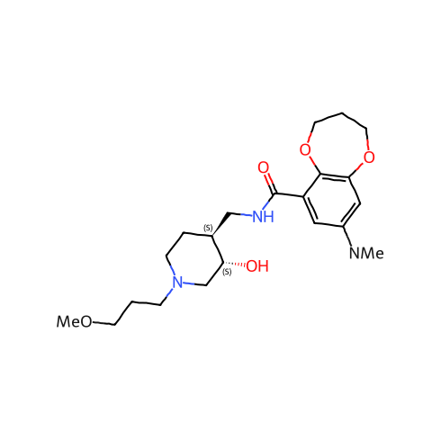 CNc1cc2c(c(C(=O)NC[C@@H]3CCN(CCCOC)C[C@H]3O)c1)OCCCO2